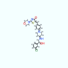 O=C1N=C(N2CCOCC2)SC1=Cc1ccc(N2CCC(NC[C@H](O)c3cccc(Cl)c3)CC2)cc1